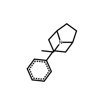 CCN1C2CCC1CC(c1ccccc1)C2